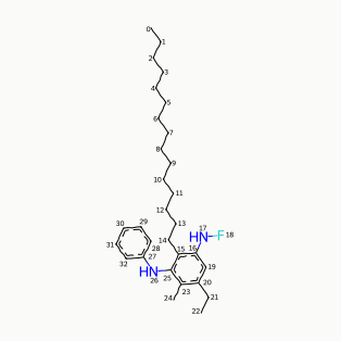 CCCCCCCCCCCCCCCc1c(NF)cc(CC)c(C)c1Nc1ccccc1